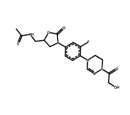 CC(=S)NCC1CN(c2ccc(N3C=NN(C(=O)CO)CC3)c(F)c2)C(=O)O1